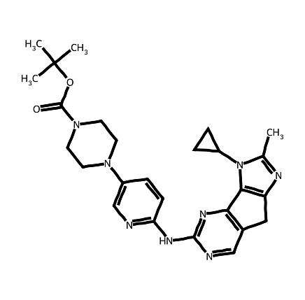 Cc1nc2c(n1C1CC1)-c1nc(Nc3ccc(N4CCN(C(=O)OC(C)(C)C)CC4)cn3)ncc1C2